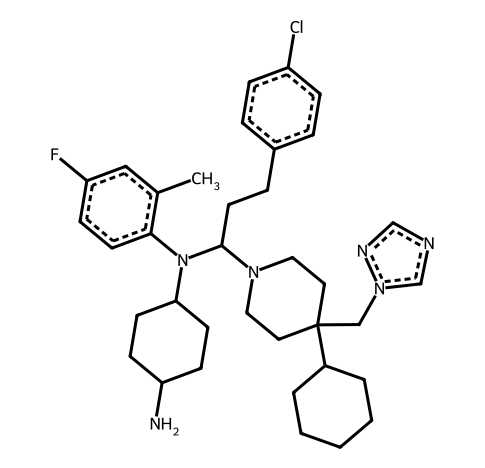 Cc1cc(F)ccc1N(C1CCC(N)CC1)C(CCc1ccc(Cl)cc1)N1CCC(Cn2cncn2)(C2CCCCC2)CC1